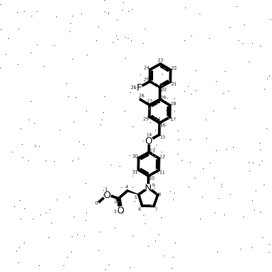 COC(=O)C[C@@H]1CCCN1c1ccc(OCc2ccc(-c3ccccc3F)c(C)c2)cc1